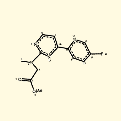 COC(=O)CN(C)c1nccc(-c2ccc(F)cn2)n1